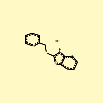 Cl.c1ccc(CSc2nc3ccccc3[nH]2)nc1